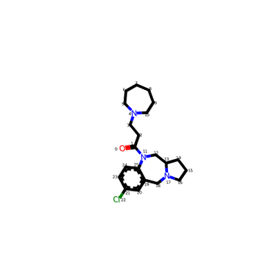 O=C(CCN1CCCCCC1)N1CC2CCCN2Cc2cc(Cl)ccc21